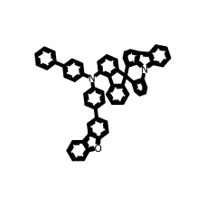 c1ccc(-c2ccc(N(c3ccc(-c4ccc5oc6ccccc6c5c4)cc3)c3cccc4c3-c3ccccc3C43c4ccccc4-n4c5ccccc5c5cccc3c54)cc2)cc1